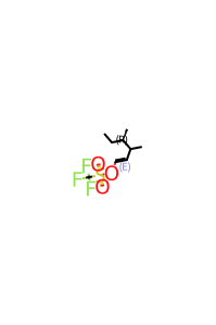 CC[C@@H](C)C(C)/C=C/OS(=O)(=O)C(F)(F)F